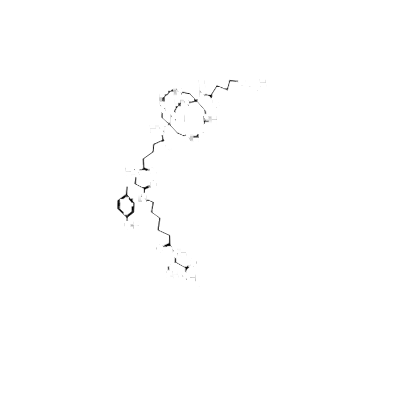 NC(=O)[C@H](CS)NC(=O)CCCCCNC(=O)[C@H](Cc1ccc(O)cc1)NC(=O)CCCC(=O)N[C@]12CNCCNC[C@](NC(=O)CCCC(=O)O)(CNCCNC1)NCCN2